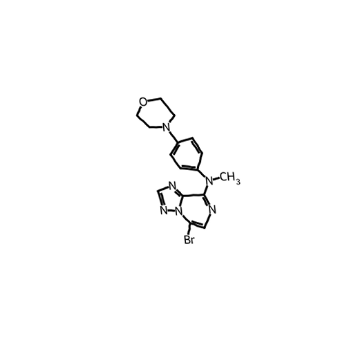 CN(c1ccc(N2CCOCC2)cc1)c1ncc(Br)n2ncnc12